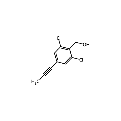 CC#Cc1cc(Cl)c(CO)c(Cl)c1